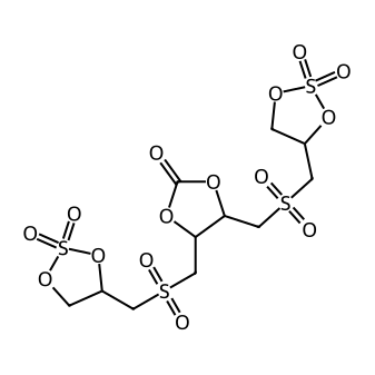 O=C1OC(CS(=O)(=O)CC2COS(=O)(=O)O2)C(CS(=O)(=O)CC2COS(=O)(=O)O2)O1